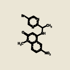 CC(Nc1cc(=O)n(C)c2ccc([N+](=O)[O-])cc12)c1ncc(Br)cn1